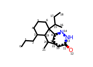 CCCC1CCCC(c2ccc(=O)[nH]n2)(C(C)CC)C1C(C)C